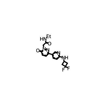 CCNC(=O)Cn1nc(-c2ccc(NC3CC(F)(F)C3)nc2)ccc1=O